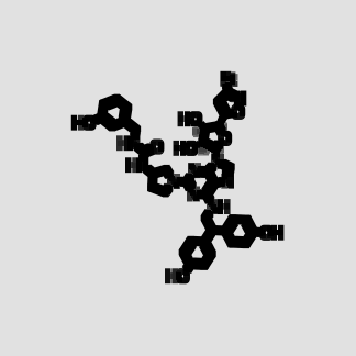 CCc1cc([C@H]2O[C@@H](n3cnc4c(NCC(c5ccc(O)cc5)c5ccc(O)cc5)nc(N5CCC(NC(=O)NCc6cccc(O)c6)C5)nc43)[C@H](O)[C@@H]2O)on1